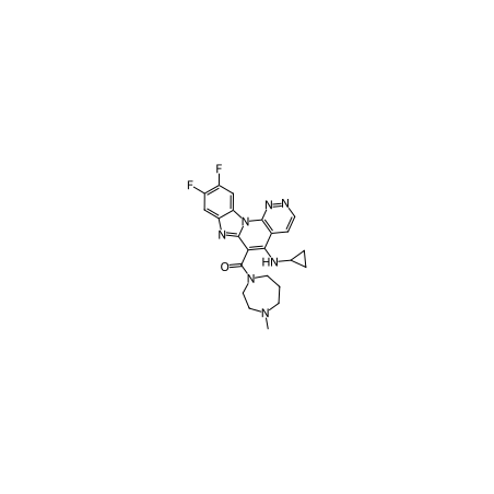 CN1CCCN(C(=O)c2c(NC3CC3)c3ccnnc3n3c2nc2cc(F)c(F)cc23)CC1